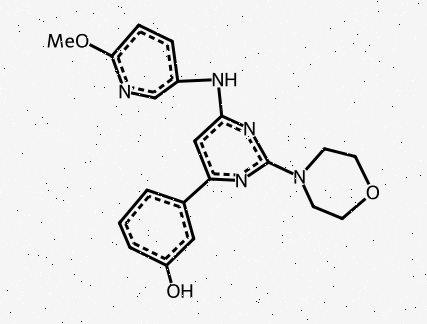 COc1ccc(Nc2cc(-c3cccc(O)c3)nc(N3CCOCC3)n2)cn1